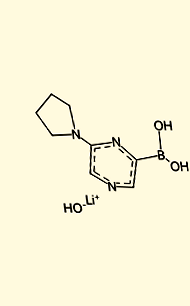 OB(O)c1cncc(N2CCCC2)n1.[Li+].[OH-]